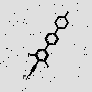 CC1CCC(c2ccc(-c3cc(F)c(C#CC(F)(F)F)c(F)c3)cc2)CC1